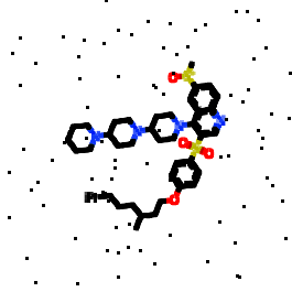 CC(C)CCCC(C)CCOc1ccc(S(=O)(=O)c2cnc3ccc([S+](C)[O-])cc3c2N2CCC(N3CCC(N4CCCCC4)CC3)CC2)cc1